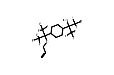 C=CCOC(C1CCC(C(O)(C(F)(F)F)C(F)(F)F)CC1)(C(F)(F)F)C(F)(F)F